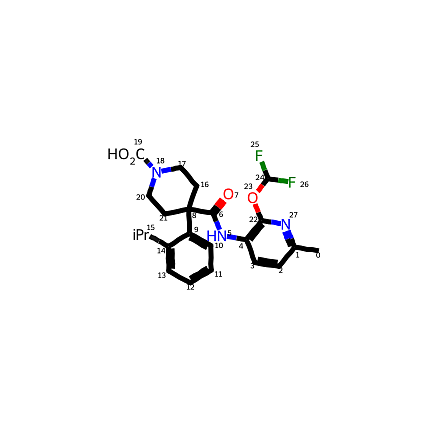 Cc1ccc(NC(=O)C2(c3ccccc3C(C)C)CCN(C(=O)O)CC2)c(OC(F)F)n1